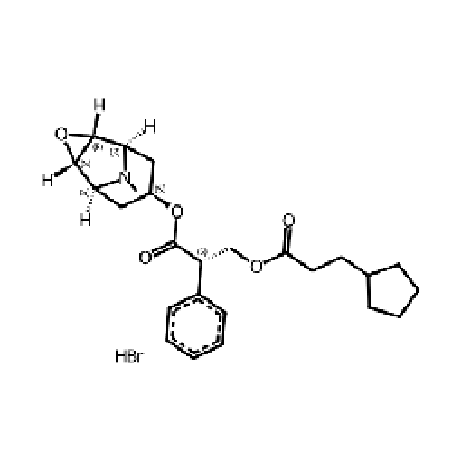 Br.CN1[C@@H]2C[C@@H](OC(=O)[C@H](COC(=O)CCC3CCCC3)c3ccccc3)C[C@H]1[C@@H]1O[C@@H]12